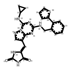 O=C1NC(=O)/C(=C/c2cnn3c(NC4CC4)nc(NCc4ccccc4-c4cccs4)nc23)N1